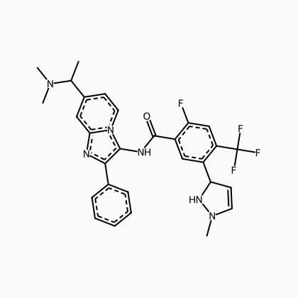 CC(c1ccn2c(NC(=O)c3cc(C4C=CN(C)N4)c(C(F)(F)F)cc3F)c(-c3ccccc3)nc2c1)N(C)C